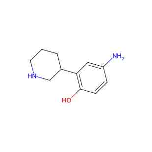 Nc1ccc(O)c(C2CCCNC2)c1